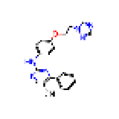 N#Cc1cnc(Nc2ccc(OCCn3cncn3)cc2)nc1-c1ccccc1